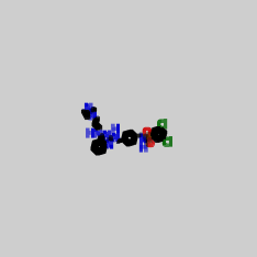 O=S(=O)(NC[C@H]1CC[C@H](CNc2nc(NCCCn3ccnc3)c3ccccc3n2)CC1)c1cc(Cl)cc(Cl)c1